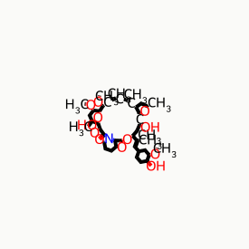 CCCC1CC(C)CC(C)CC(OC)C2OC(O)(C(=O)C(=O)N3CCCCC3C(=O)OC(/C(C)=C/C3CCC(O)C(OC)C3)C(C)C(O)CC1=O)C(C)CC2OC